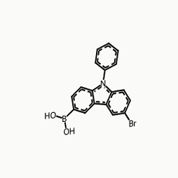 OB(O)c1ccc2c(c1)c1cc(Br)ccc1n2-c1ccccc1